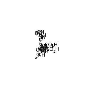 Cc1ccc(CCCC(=O)NCCCCC(CSC2CC(=O)N(CCCC(=O)N3CCC(CCCCOc4ccc5nccc(C(=O)NCC(=O)N6CC(F)(F)C[C@@H]6C#N)c5c4)CC3)C2=O)NC(=O)CN2CCN(CC(=O)O)CCN(CC(=O)O)CCN(CC(=O)O)CC2)cc1